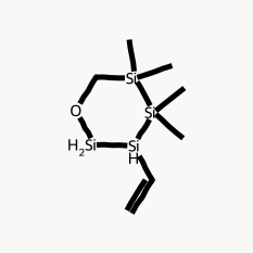 C=C[SiH]1[SiH2]OC[Si](C)(C)[Si]1(C)C